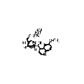 C=C[C@H]1C[N@]2CC[C@H]1C[C@H]2C(N)c1ccnc2ccc(OC)cc12.Cl.Cl.Cl